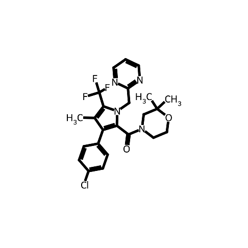 Cc1c(-c2ccc(Cl)cc2)c(C(=O)N2CCOC(C)(C)C2)n(Cc2ncccn2)c1C(F)(F)F